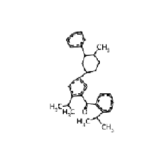 CC(C)c1ccccc1C(=O)c1cc(C2CCC(C)C(c3ccccc3)C2)ccc1C(C)C